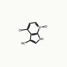 N#Cc1c[nH]c2c1c(Cl)cc[n+]2[O-]